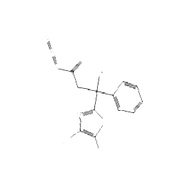 C=C(CC(O)(c1ccccc1)c1nc(C)c(C)s1)N=[N+]=[N-]